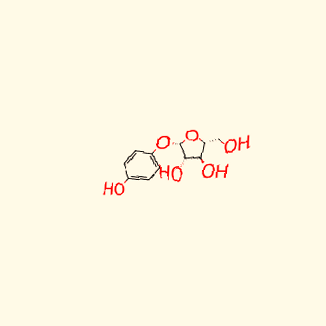 OC[C@H]1O[C@@H](Oc2ccc(O)cc2)[C@@H](O)[C@@H]1O